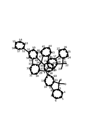 CC1(C)c2ccccc2-c2ccc(N(c3ccc4c(c3)C(C)(C)c3ccccc3-4)c3cccc4c3C3(c5ccccc5-c5ccccc53)c3ccc(-c5ccccc5)cc3-4)cc21